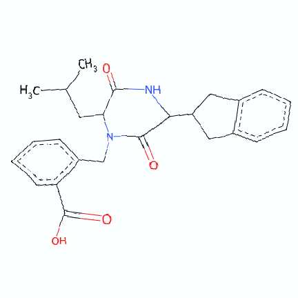 CC(C)CC1C(=O)NC(C2Cc3ccccc3C2)C(=O)N1Cc1ccccc1C(=O)O